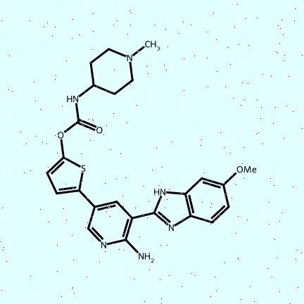 COc1ccc2nc(-c3cc(-c4ccc(OC(=O)NC5CCN(C)CC5)s4)cnc3N)[nH]c2c1